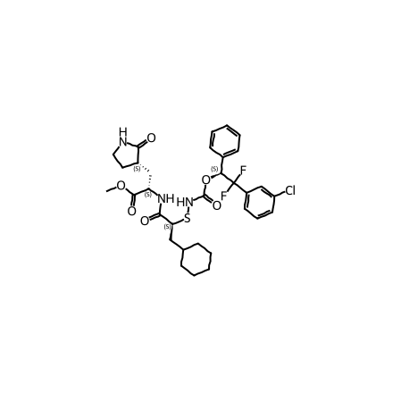 COC(=O)[C@H](C[C@@H]1CCNC1=O)NC(=O)[C@H](CC1CCCCC1)SNC(=O)O[C@@H](c1ccccc1)C(F)(F)c1cccc(Cl)c1